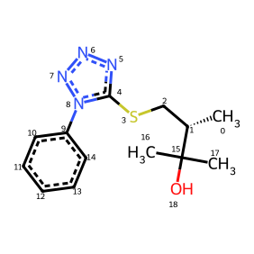 C[C@@H](CSc1nnnn1-c1ccccc1)C(C)(C)O